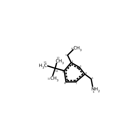 CCc1cc(CN)ccc1C(C)(C)C